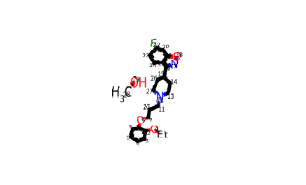 CCOc1ccccc1OCCCN1CCC(c2noc3cc(F)ccc23)CC1.CO